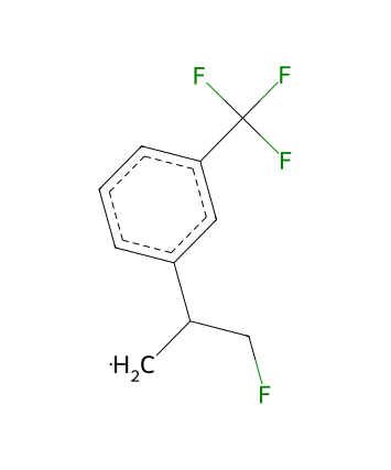 [CH2]C(CF)c1cccc(C(F)(F)F)c1